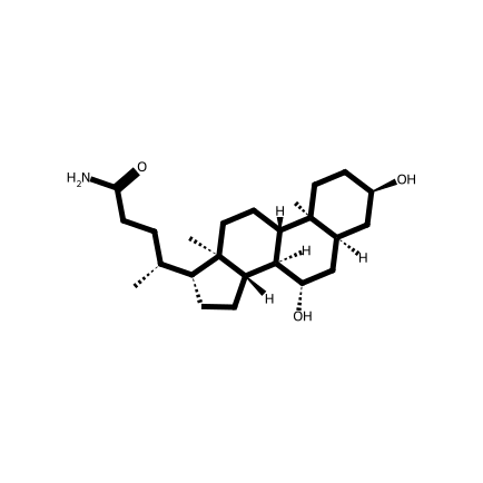 C[C@H](CCC(N)=O)[C@H]1CC[C@H]2[C@@H]3[C@@H](O)C[C@@H]4C[C@H](O)CC[C@]4(C)[C@H]3CC[C@]12C